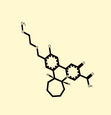 COCCOCc1cc2c(cc1Cl)-c1cc(=O)c(C(=O)O)cn1[C@@H]1CCCCC[C@H]21